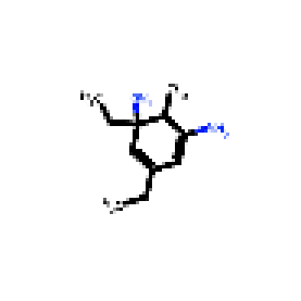 CCC1=CC(N)(CC)C(C)C(N)=C1